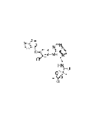 CC(C)(OS(C)(=O)=O)C(=O)NCCn1ccc2ncnc(Nc3ccc(Oc4cccc5sccc45)c(Cl)c3)c21